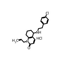 C=CCn1c2c(ccc1=O)C(NCCc1ccc(Cl)cc1)CCC2.Cl